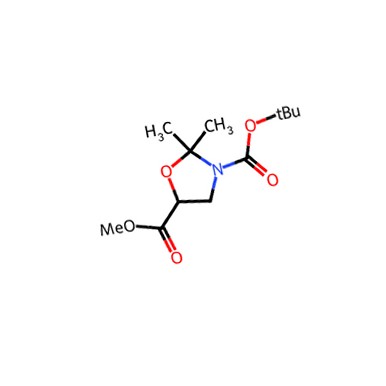 COC(=O)C1CN(C(=O)OC(C)(C)C)C(C)(C)O1